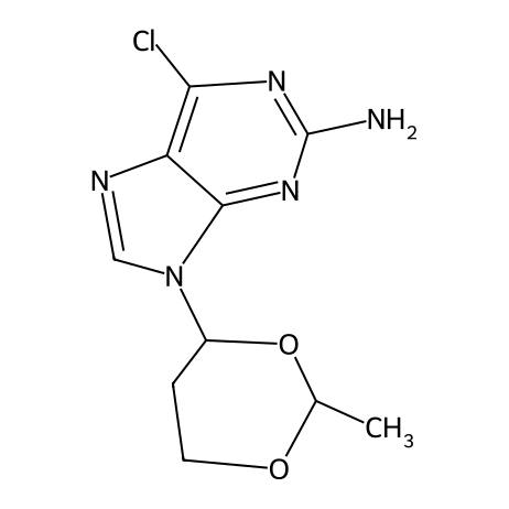 CC1OCCC(n2cnc3c(Cl)nc(N)nc32)O1